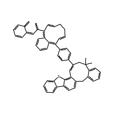 C=C(/C=c1/ccccc1=C)C1=c2\cccc\c2=C(c2ccc(/C3=C/c4c(ccc5c4sc4ccccc45)Cc4ccccc4C(C)(C)C3)cc2)\C=C\CC\C=C\1